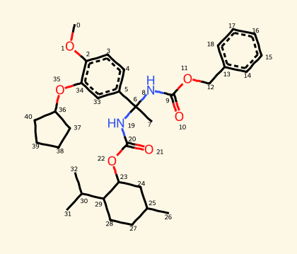 COc1ccc(C(C)(NC(=O)OCc2ccccc2)NC(=O)OC2CC(C)CCC2C(C)C)cc1OC1CCCC1